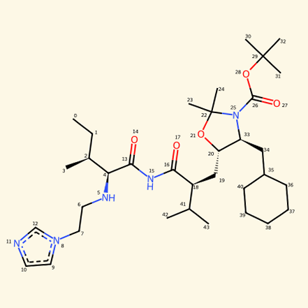 CC[C@H](C)[C@H](NCCn1ccnc1)C(=O)NC(=O)[C@@H](C[C@@H]1OC(C)(C)N(C(=O)OC(C)(C)C)[C@H]1CC1CCCCC1)C(C)C